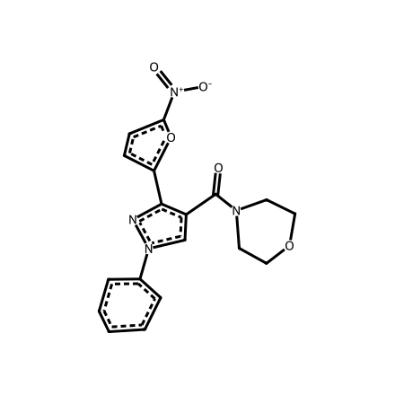 O=C(c1cn(-c2ccccc2)nc1-c1ccc([N+](=O)[O-])o1)N1CCOCC1